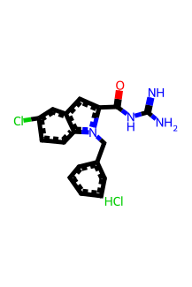 Cl.N=C(N)NC(=O)c1cc2cc(Cl)ccc2n1Cc1ccccc1